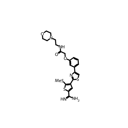 CSc1sc(C(=N)N)cc1-c1nc(-c2cccc(OCC(=O)NCCN3CCOCC3)c2)cs1